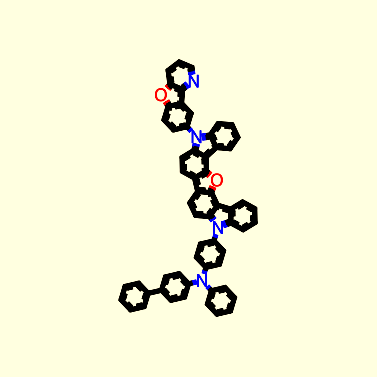 c1ccc(-c2ccc(N(c3ccccc3)c3ccc(-n4c5ccccc5c5c6oc7c(ccc8c7c7ccccc7n8-c7ccc8oc9cccnc9c8c7)c6ccc54)cc3)cc2)cc1